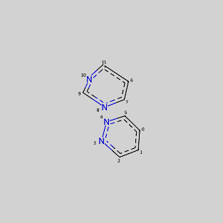 c1ccnnc1.c1cncnc1